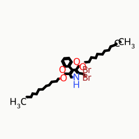 CCCCCCCCCCCCOC(=O)C1=C(c2ccccc2)C(C(=O)OCCCCCCCCCCCC)=C(C(Br)Br)NC1